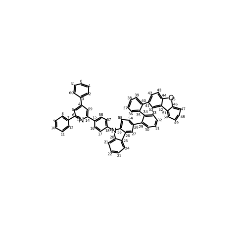 c1ccc(-c2cc(-c3ccccc3)nc(-c3ccc(-n4c5ccccc5c5cc(-c6ccccc6-c6ccccc6-c6ccc7oc8ccccc8c7c6)ccc54)cc3)c2)cc1